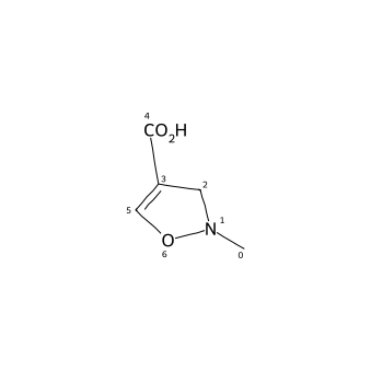 CN1CC(C(=O)O)=CO1